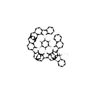 CC1(C)c2ccccc2-c2cc3c4ccccc4n(-c4c(-n5c6ccccc6c6ccc7ccccc7c65)c(C#N)c(-n5c6ccccc6c6ccc7ccccc7c65)c(C#N)c4-n4c5ccccc5c5ccc6ccccc6c54)c3cc21